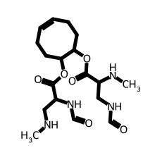 CNCC(NC=O)C(=O)OC1CC/C=C\CCC1OC(=O)C(CNC=O)NC